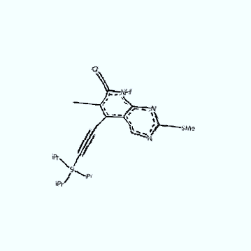 CSc1ncc2c(C#C[Si](C(C)C)(C(C)C)C(C)C)c(C)c(=O)[nH]c2n1